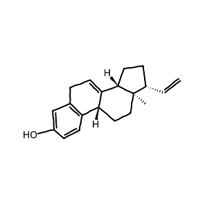 C=C[C@H]1CC[C@H]2C3=CCc4cc(O)ccc4[C@H]3CC[C@]12C